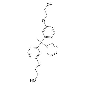 CC(c1ccccc1)(c1cc[c]c(OCCO)c1)c1cc[c]c(OCCO)c1